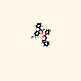 CC(C)c1ccc([C@@H](NC(=O)[C@@H]2C[C@@H](F)CN2C(=O)Cc2cnc3ccccn23)c2ccccc2)cc1